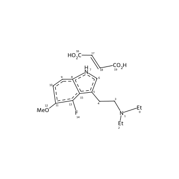 CCN(CC)CCc1c[nH]c2ccc(OC)c(F)c12.O=C(O)/C=C/C(=O)O